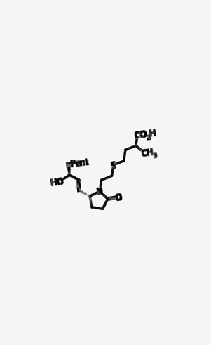 CCCCC[C@H](O)C=C[C@H]1CCC(=O)N1CCSCCC(C)C(=O)O